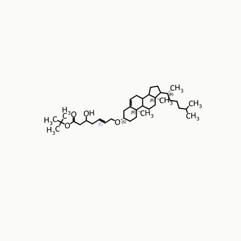 CC(C)CCC[C@@H](C)C1CCC2C3CC=C4C[C@@H](OC/C=C/CC(O)CC(=O)OC(C)(C)C)CC[C@]4(C)C3CC[C@@]21C